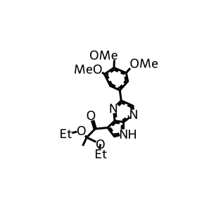 CCOC(C)(OCC)C(=O)c1c[nH]c2ncc(-c3cc(OC)c(OC)c(OC)c3)nc12